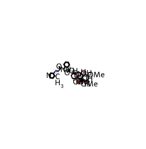 CCN1C[C@]2(OC(=O)c3ccccc3NC(=O)/C=C/c3cnccc3C)CC[C@H](OC)[C@]34C1[C@@H](C[C@H]23)[C@@]1(O)C[C@H](OC)C[C@H]2C[C@@H]4[C@]1(O)[C@H]2OC